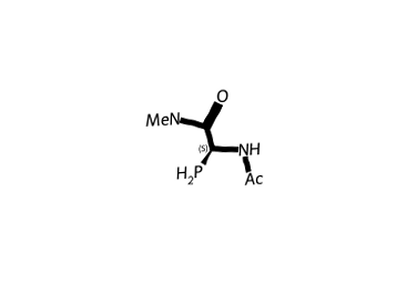 CNC(=O)[C@H](P)NC(C)=O